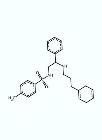 Cc1ccc(S(=O)(=O)NCC(NCCCC2=CCC=CC2)c2ccccc2)cc1